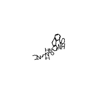 CCN(CC)CCNCC(=O)Nc1ccc2[nH]c(=O)c3cccc4c3c2c1C4